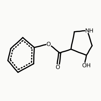 O=C(Oc1ccccc1)C1CNCC1O